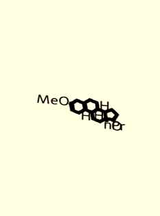 CCCC12CC[C@@H]3C4=C(CC[C@H]3[C@@H]1CCC2=O)CC(OC)=CC4